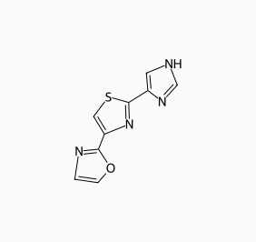 c1coc(-c2csc(-c3c[nH]cn3)n2)n1